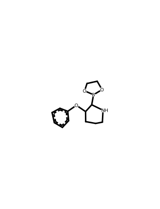 c1ccc(OC2CCCNC2B2OCCO2)cc1